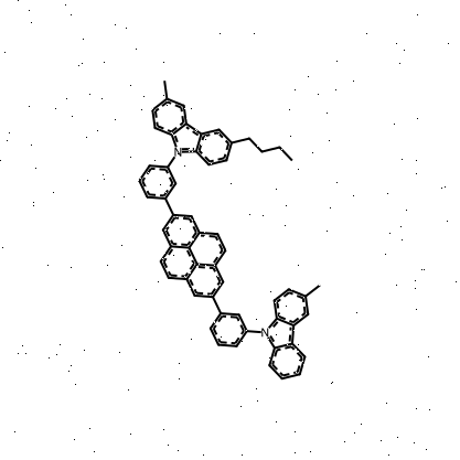 CCCCc1ccc2c(c1)c1cc(C)ccc1n2-c1cccc(-c2cc3ccc4cc(-c5cccc(-n6c7ccccc7c7cc(C)ccc76)c5)cc5ccc(c2)c3c45)c1